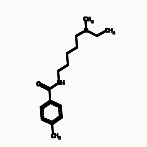 CCN(C)CCCCCNC(=O)c1ccc(C)cc1